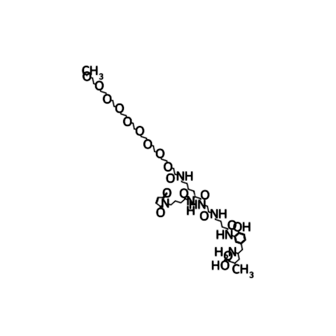 COCCOCCOCCOCCOCCOCCOCCOCCOCC(=O)NCCCC[C@H](NC(=O)CCCN1C(=O)C=CC1=O)C(=O)NCC(=O)NCCCC(=O)Nc1cc(C[C@H](N)C[C@H](C)C(=O)O)ccc1O